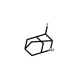 FC1C2CC3CC(C2)NC1C3